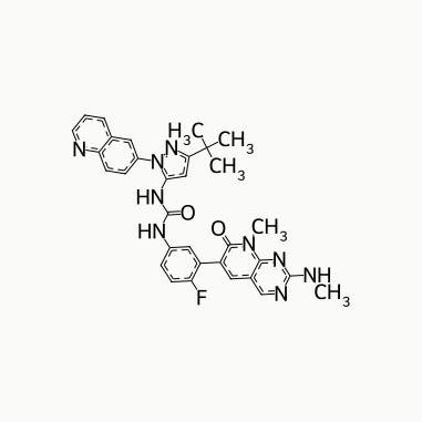 CNc1ncc2cc(-c3cc(NC(=O)Nc4cc(C(C)(C)C)nn4-c4ccc5ncccc5c4)ccc3F)c(=O)n(C)c2n1